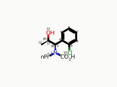 CCCN(C(=O)O)[C@H](c1ccccc1Cl)[C@@H](C)O